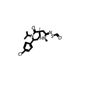 CN/C(C[C@@]1(C)CCC(c2ccc(Cl)cc2)N(C(C)C)C1=O)=N\SC=O